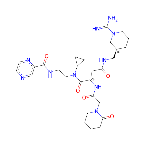 N=C(N)N1CCC[C@@H](CNC(=O)C[C@H](NC(=O)CN2CCCCC2=O)C(=O)N(CCNC(=O)c2cnccn2)C2CC2)C1